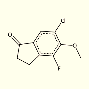 COc1c(Cl)cc2c(c1F)CCC2=O